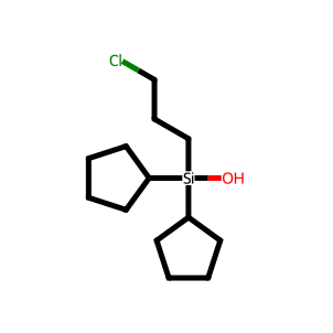 O[Si](CCCCl)(C1CCCC1)C1CCCC1